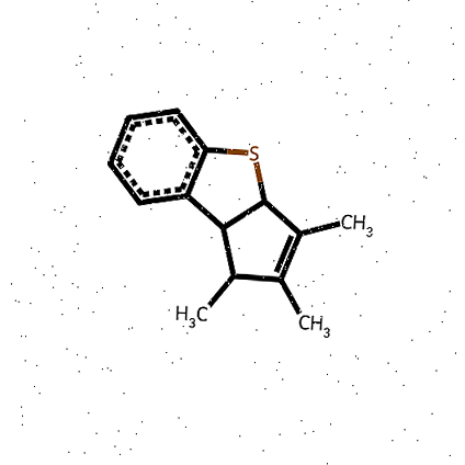 CC1=C(C)C2Sc3ccccc3C2C1C